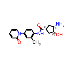 Cc1cc(-n2ccccc2=O)ccc1NC(=O)[C@@H]1C[C@H](N)[C@@H](O)C1